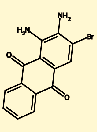 Nc1c(Br)cc2c(c1N)C(=O)c1ccccc1C2=O